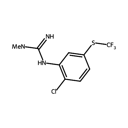 CNC(=N)Nc1cc(SC(F)(F)F)ccc1Cl